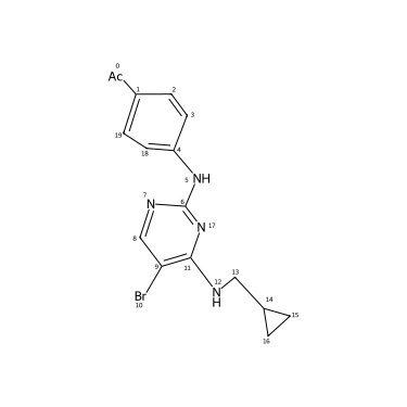 CC(=O)c1ccc(Nc2ncc(Br)c(NCC3CC3)n2)cc1